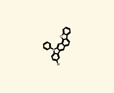 Brc1ccc2c(c1)c1cc3ccc4c5ccccc5oc4c3cc1n2-c1ccccc1